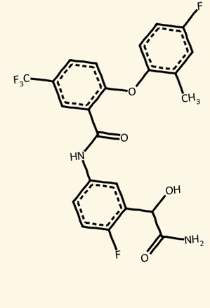 Cc1cc(F)ccc1Oc1ccc(C(F)(F)F)cc1C(=O)Nc1ccc(F)c(C(O)C(N)=O)c1